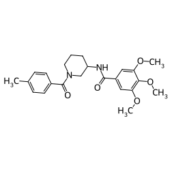 COc1cc(C(=O)NC2CCCN(C(=O)c3ccc(C)cc3)C2)cc(OC)c1OC